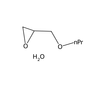 CCCOCC1CO1.O